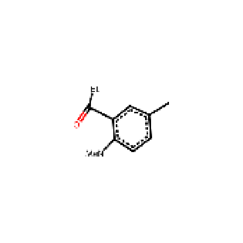 CCC(=O)c1cc(C)ccc1NC